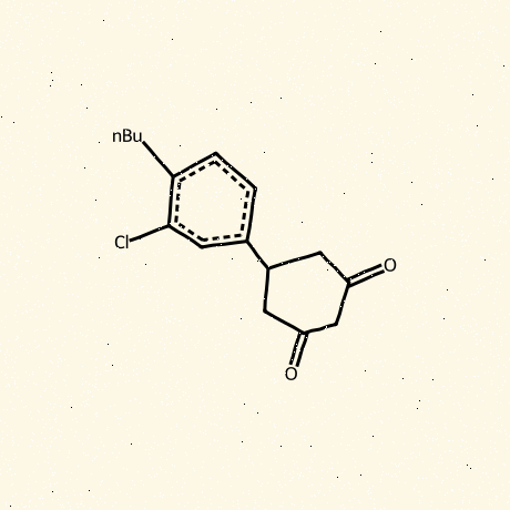 CCCCc1ccc(C2CC(=O)CC(=O)C2)cc1Cl